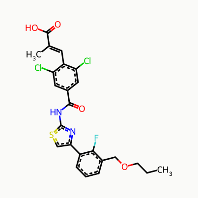 CCCOCc1cccc(-c2csc(NC(=O)c3cc(Cl)c(C=C(C)C(=O)O)c(Cl)c3)n2)c1F